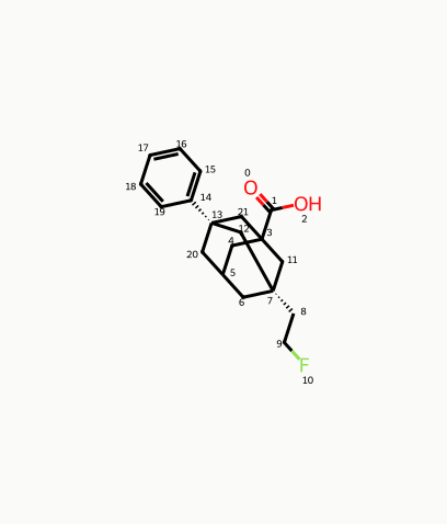 O=C(O)C12CC3C[C@](CCF)(C1)C[C@@](c1ccccc1)(C3)C2